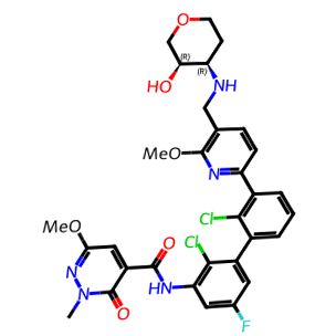 COc1cc(C(=O)Nc2cc(F)cc(-c3cccc(-c4ccc(CN[C@@H]5CCOC[C@@H]5O)c(OC)n4)c3Cl)c2Cl)c(=O)n(C)n1